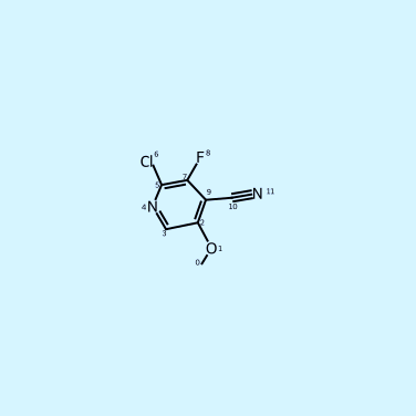 COc1cnc(Cl)c(F)c1C#N